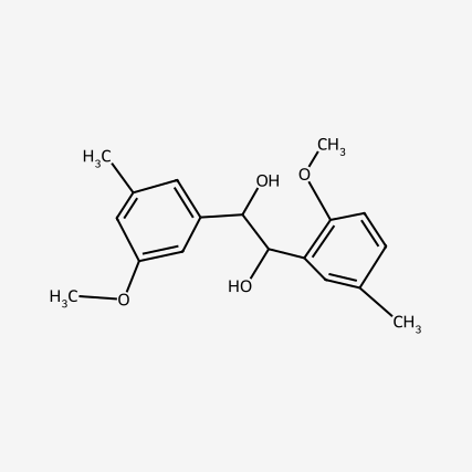 COc1cc(C)cc(C(O)C(O)c2cc(C)ccc2OC)c1